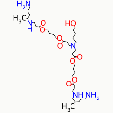 CC(CCCN)CNCCC(=O)OCCCCOC(=O)CCN(CCCCCO)CCC(=O)OCCCCOC(=O)CCNC(C)CCCN